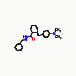 CN(C)c1ccc(C=C2C=CC=CC2C(=O)NN=Cc2ccccc2)cc1